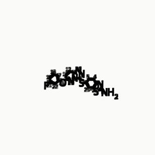 Nc1nc2ccc(Sc3nnc4ccc(Oc5cccc(F)c5)nn34)cc2s1